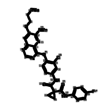 COCCOc1cc2ncnc(Oc3ccc(NC(=O)C4(C(=O)Nc5ccc(F)cc5)CC4)cc3Cl)c2nc1OC